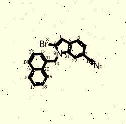 N#Cc1ccc2cc(Br)n(Cc3cccc4ccccc34)c2c1